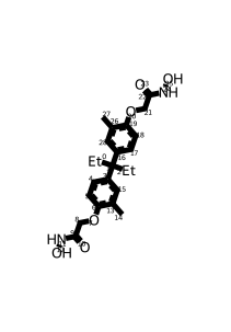 CCC(CC)(c1ccc(OCC(=O)NO)c(C)c1)c1ccc(OCC(=O)NO)c(C)c1